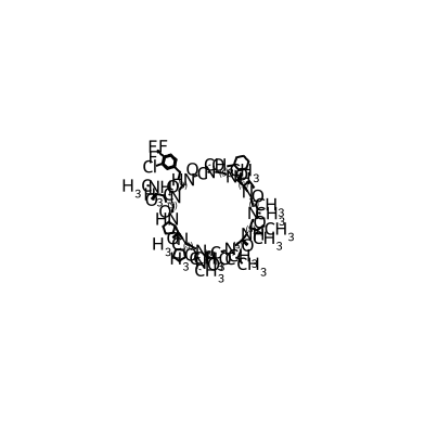 CC[C@H](C)[C@@H]1NC(=O)[C@H](CC(C)C)N(C)C(=O)C[C@@H](C(=O)N(C)C)N(C)C(=O)[C@H](C2CCCC2)N(C)C(=O)C2(CCCC2)NC(=O)[C@H](CCC(=O)NC)N(C)C(=O)[C@H](CCc2ccc(C(F)(F)F)c(Cl)c2)NC(=O)CN(C)C(=O)[C@H](CC2CCCCC2)N(C)C(=O)[C@@H]2CCN2C(=O)[C@H](C)N(C)C1=O